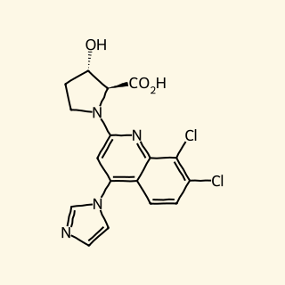 O=C(O)[C@@H]1[C@@H](O)CCN1c1cc(-n2ccnc2)c2ccc(Cl)c(Cl)c2n1